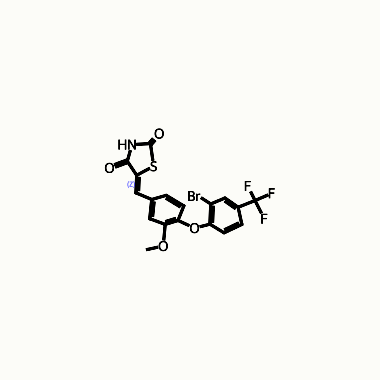 COc1cc(/C=C2\SC(=O)NC2=O)ccc1Oc1ccc(C(F)(F)F)cc1Br